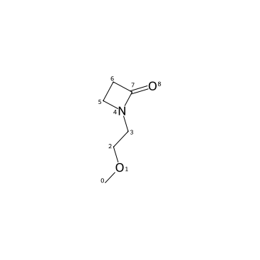 COCCN1CCC1=O